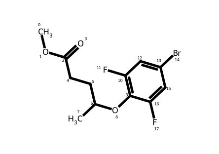 COC(=O)CCC(C)Oc1c(F)cc(Br)cc1F